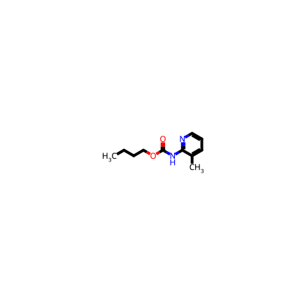 CCCCOC(=O)Nc1ncccc1C